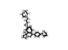 c1cnn(-c2ccc([C@H]3CN4CCC[C@@H]4c4cc(OCCCN5CCOCC5)ccc43)cc2)c1